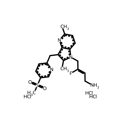 Cc1ccc2c(n1)c(Cc1ccc(S(C)(=O)=O)cn1)c(C)n2C/C(F)=C/CN.Cl.Cl.Cl